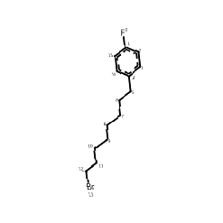 Fc1ccc(CCCCCCCCBr)cc1